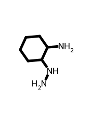 NNC1CCCCC1N